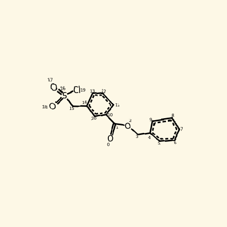 O=C(OCc1ccccc1)c1cccc(CS(=O)(=O)Cl)c1